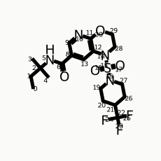 CCC(C)(C)NC(=O)c1cnc2c(c1)N(S(=O)(=O)N1CCC(C(F)(F)F)CC1)CCO2